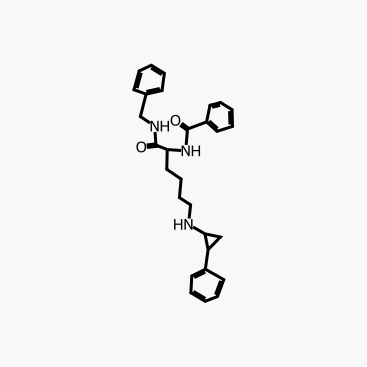 O=C(NC(CCCCNC1CC1c1ccccc1)C(=O)NCc1ccccc1)c1ccccc1